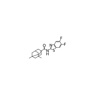 CC12CC3CC(C)(C1)CC(C(=O)Nc1nc4cc(F)c(F)cc4s1)(C3)C2